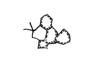 CC1(C)Cc2cnc3c4ccccc4c4cccc1c4n23